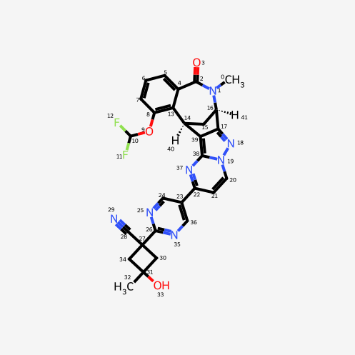 CN1C(=O)c2cccc(OC(F)F)c2[C@H]2C[C@@H]1c1nn3ccc(-c4cnc(C5(C#N)CC(C)(O)C5)nc4)nc3c12